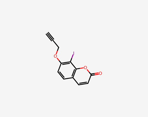 C#CCOc1ccc2ccc(=O)oc2c1I